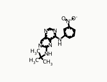 CC(C)(C)Nc1ncc2ncnc(Nc3cccc([N+](=O)[O-])c3)c2n1